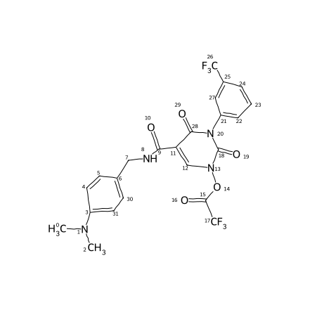 CN(C)c1ccc(CNC(=O)c2cn(OC(=O)C(F)(F)F)c(=O)n(-c3cccc(C(F)(F)F)c3)c2=O)cc1